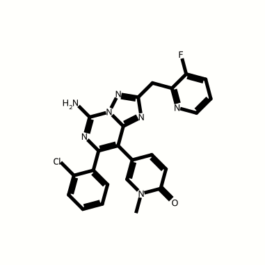 Cn1cc(-c2c(-c3ccccc3Cl)nc(N)n3nc(Cc4ncccc4F)nc23)ccc1=O